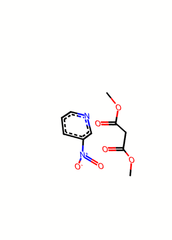 COC(=O)CC(=O)OC.O=[N+]([O-])c1cccnc1